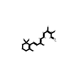 CC(C=CC1=C(C)CCCC1(C)C)=CC=CC(C)=C(C)C=O